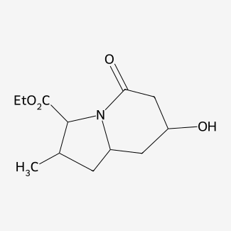 CCOC(=O)C1C(C)CC2CC(O)CC(=O)N21